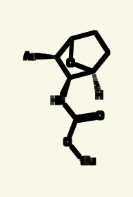 CC(=O)[C@H]1C2CC[C@H](O2)[C@H]1NC(=O)OC(C)(C)C